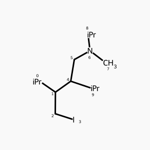 CC(C)C(CI)C(CN(C)C(C)C)C(C)C